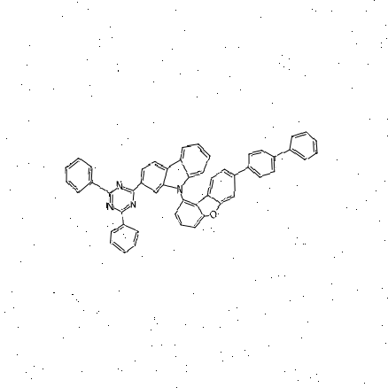 c1ccc(-c2ccc(-c3ccc4c(c3)oc3cccc(-n5c6ccccc6c6ccc(-c7nc(-c8ccccc8)nc(-c8ccccc8)n7)cc65)c34)cc2)cc1